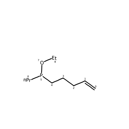 C=CCCCP(CCC)OCC